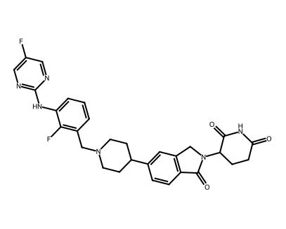 O=C1CCC(N2Cc3cc(C4CCN(Cc5cccc(Nc6ncc(F)cn6)c5F)CC4)ccc3C2=O)C(=O)N1